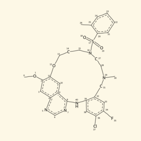 COc1cc2ncnc3c2cc1OCCCN(S(=O)(=O)c1ccccc1C)CCN(C)Cc1cc(F)c(Cl)cc1N3